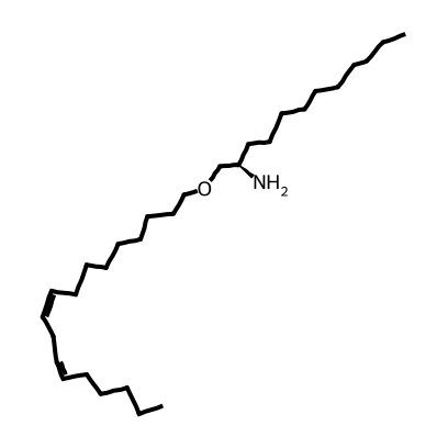 CCCCC/C=C\C/C=C\CCCCCCCCOC[C@H](N)CCCCCCCCCC